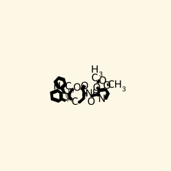 COc1ccnc(C(=O)N[C@H]2CCC[C@H](Cc3ccccc3)[C@@H](Cc3ccccc3)[C@H](C)OC2=O)c1OC(C)=O